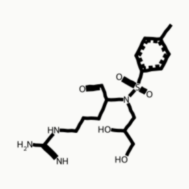 Cc1ccc(S(=O)(=O)N(CC(O)CO)C(C=O)CCCNC(=N)N)cc1